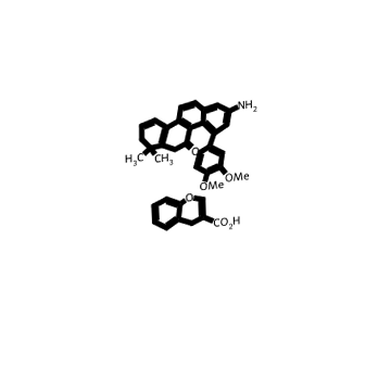 COc1ccc(-c2cc(N)cc3ccc4c(c23)C(=O)CC2=C4C=CCC2(C)C)cc1OC.O=C(O)C1=COc2ccccc2C1